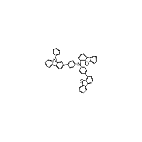 c1ccc(-n2c3ccccc3c3ccc(-c4ccc(N(c5ccc(-c6cccc7c6sc6ccccc67)cc5)c5cccc6c5oc5ccccc56)cc4)cc32)cc1